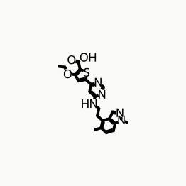 CCOc1cc(-c2cc(NCCc3c(C)ccc4c3cnn4C)ncn2)sc1C(=O)O